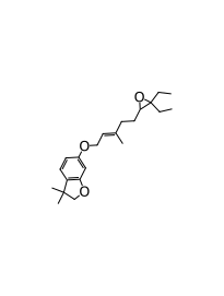 CCC1(CC)OC1CC/C(C)=C/COc1ccc2c(c1)OCC2(C)C